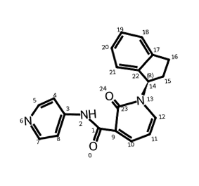 O=C(Nc1ccncc1)c1cccn([C@@H]2CCc3ccccc32)c1=O